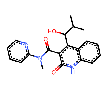 CC(C)C(O)c1c(C(=O)N(C)c2ccccn2)c(=O)[nH]c2ccccc12